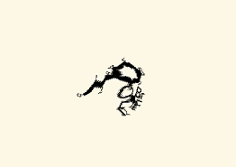 C=CCc1ccccc1OC(F)(F)Br